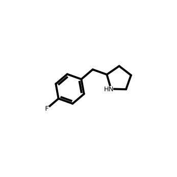 Fc1ccc(CC2CCCN2)cc1